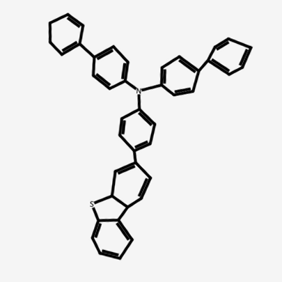 C1=CC(c2ccc(N(c3ccc(C4=CC5Sc6ccccc6C5C=C4)cc3)c3ccc(-c4ccccc4)cc3)cc2)=CCC1